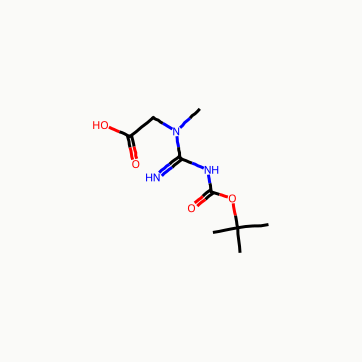 CN(CC(=O)O)C(=N)NC(=O)OC(C)(C)C